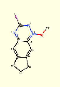 CO[n+]1nc(I)nc2cc3c(cc21)CCC3